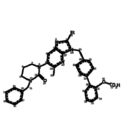 CCc1nc2cc(N3CCCN(Cc4ccccc4)C3=O)c(C)nc2n1Cc1ccc(-c2ccccc2OC(=O)O)cc1